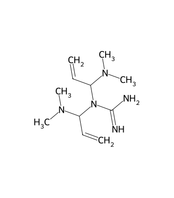 C=CC(N(C)C)N(C(=N)N)C(C=C)N(C)C